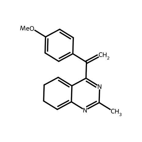 C=C(c1ccc(OC)cc1)c1nc(C)nc2c1=CCCC=2